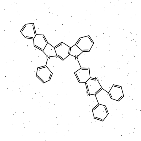 c1ccc(-c2nc3ccc(-n4c5ccccc5c5cc6c7cc8ccccc8cc7n(-c7ccccc7)c6cc54)cc3nc2-c2ccccc2)cc1